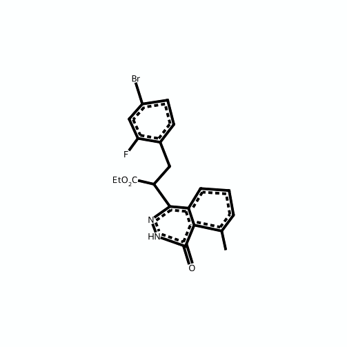 CCOC(=O)C(Cc1ccc(Br)cc1F)c1n[nH]c(=O)c2c(C)cccc12